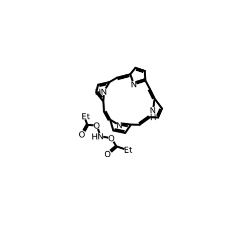 C1=Cc2cc3ccc(cc4nc(cc5ccc(cc1n2)[nH]5)C=C4)[nH]3.CCC(=O)ONOC(=O)CC